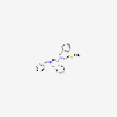 CSCCN(CCN(Cc1ccccc1)Cc1ccccc1)Cc1ccccc1